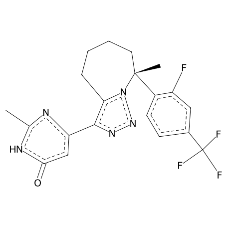 Cc1nc(-c2nnn3c2CCCC[C@]3(C)c2ccc(C(F)(F)F)cc2F)cc(=O)[nH]1